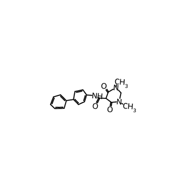 CN1CN(C)C(=O)C(C(=O)Nc2ccc(-c3ccccc3)cc2)C1=O